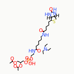 CC(=O)OCC(COP(=O)(O)OCCNC(=O)CCCCCNC(=O)CCCCC1SC[C@@H]2NC(=O)N[C@H]12)OC(C)=O.CCN(CC)CC